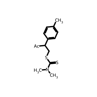 CC(=O)C(CSC(=S)N(C)C)c1ccc(C)cc1